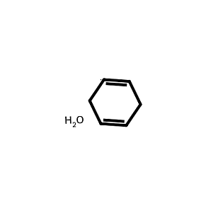 O.[C]1=CCC=CC1